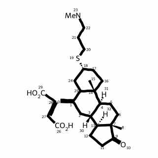 C=C1C[C@@H]2[C@H](CC[C@]3(C)C(=O)CC[C@@H]23)[C@@]2(C)CC[C@@H](SCCCNC)CC12.O=C(O)/C=C/C(=O)O